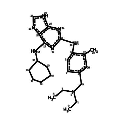 CCN(CC)Cc1ccc(Nc2nc(NC3CCCCC3)c3nc[nH]c3n2)c(C)c1